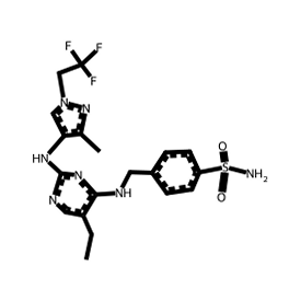 CCc1cnc(Nc2cn(CC(F)(F)F)nc2C)nc1NCc1ccc(S(N)(=O)=O)cc1